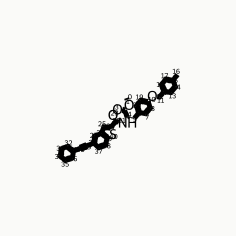 COC(=O)[C@H](Cc1ccc(OCc2ccc(C)cc2)cc1)NC(=O)c1cc2cc(C#Cc3ccccc3)ccc2s1